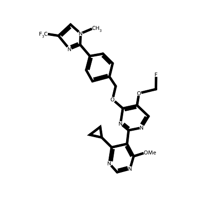 COc1ncnc(C2CC2)c1-c1ncc(OCF)c(OCc2ccc(-c3nc(C(F)(F)F)cn3C)cc2)n1